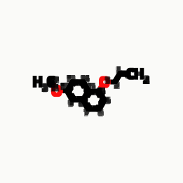 C=CCOc1cccc2cc(OC)ccc12